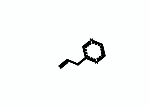 C=C[CH]c1cnccn1